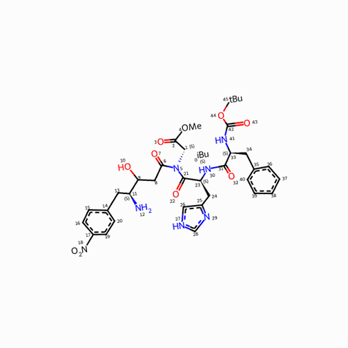 CC[C@H](C)[C@@H](C(=O)OC)N(C(=O)CC(O)[C@@H](N)Cc1ccc([N+](=O)[O-])cc1)C(=O)[C@H](Cc1c[nH]cn1)NC(=O)[C@H](Cc1ccccc1)NC(=O)OC(C)(C)C